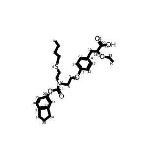 CCCCSCCN(CCOc1ccc(CC(OCC)C(=O)O)cc1)C(=O)Oc1ccc2c(c1)CCC2